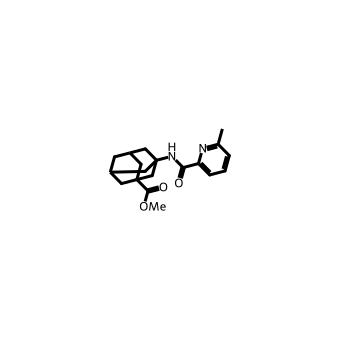 COC(=O)C12CC3CC(CC(NC(=O)c4cccc(C)n4)(C3)C1)C2